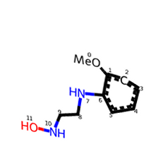 COc1ccccc1NCCNO